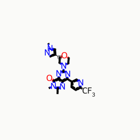 Cc1nc2c(-c3ccc(C(F)(F)F)nc3)nc(N3CCO[C@@H](c4cnn(C)c4)C3)nc2c(=O)n1C